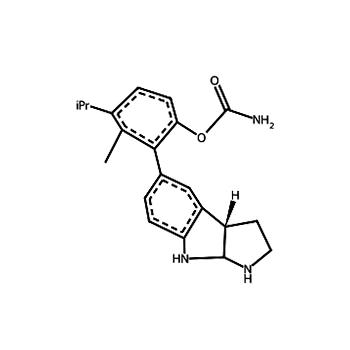 Cc1c(C(C)C)ccc(OC(N)=O)c1-c1ccc2c(c1)[C@@H]1CCNC1N2